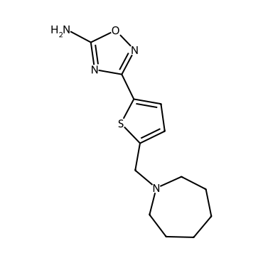 Nc1nc(-c2ccc(CN3CCCCCC3)s2)no1